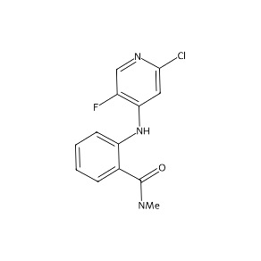 CNC(=O)c1ccccc1Nc1cc(Cl)ncc1F